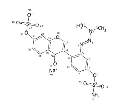 CN(C)N=Nc1cc(OS(N)(=O)=O)ccc1-c1coc2cc(OS(=O)(=O)[O-])ccc2c1=O.[Na+]